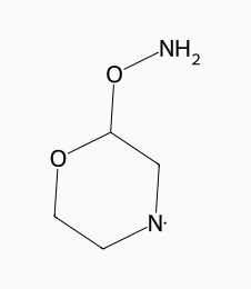 NOC1C[N]CCO1